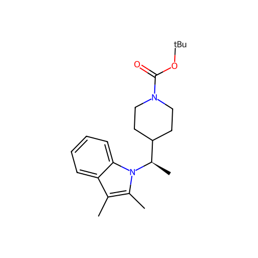 Cc1c(C)n([C@H](C)C2CCN(C(=O)OC(C)(C)C)CC2)c2ccccc12